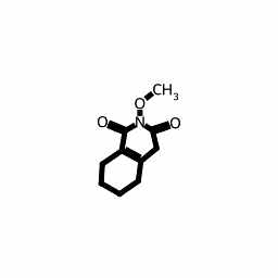 CON1C(=O)CC2=C(CCCC2)C1=O